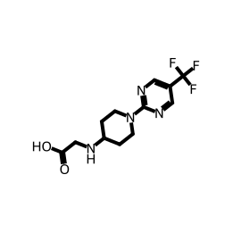 O=C(O)CNC1CCN(c2ncc(C(F)(F)F)cn2)CC1